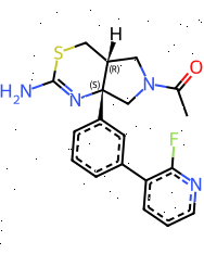 CC(=O)N1C[C@H]2CSC(N)=N[C@@]2(c2cccc(-c3cccnc3F)c2)C1